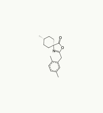 Cc1ccc(C)c(CC2=N[C@]3(CC[C@@H](C)CC3)C(=O)O2)c1